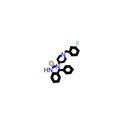 O=C1Nc2ccccc2C(c2ccccc2)N1C1CCN(Cc2cccc(F)c2)CC1